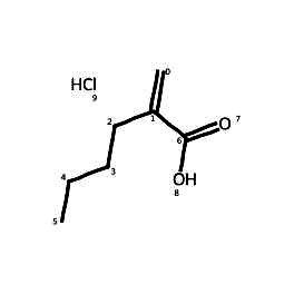 C=C(CCCC)C(=O)O.Cl